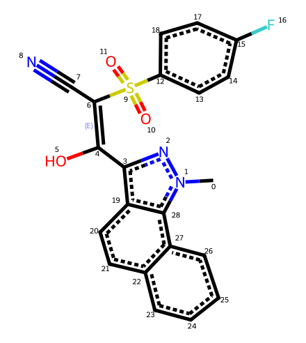 Cn1nc(/C(O)=C(/C#N)S(=O)(=O)c2ccc(F)cc2)c2ccc3ccccc3c21